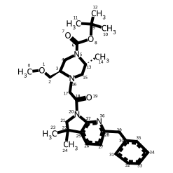 COC[C@H]1CN(C(=O)OC(C)(C)C)[C@H](C)CN1CC(=O)N1CC(C)(C)c2ccc(Cc3ccccc3)nc21